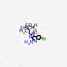 CCN(C(=O)O)C(C)(C)CCc1nc2c(N)nc3cc(Br)ccc3c2n1CC